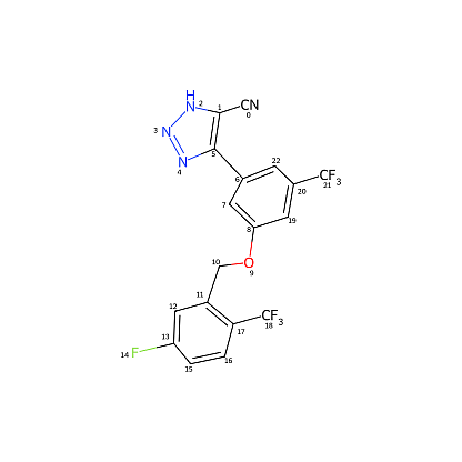 N#Cc1[nH]nnc1-c1cc(OCc2cc(F)ccc2C(F)(F)F)cc(C(F)(F)F)c1